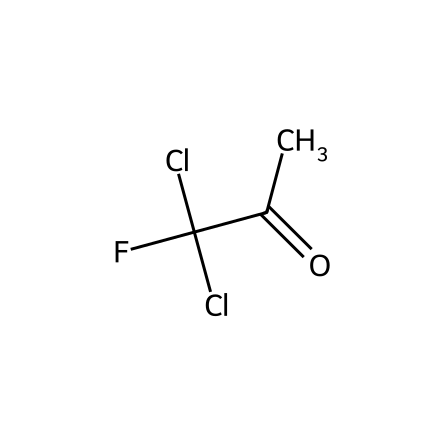 CC(=O)C(F)(Cl)Cl